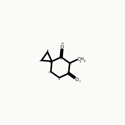 CC1C(=O)CCC2(CC2)C1=O